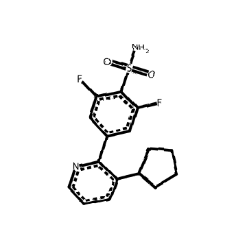 NS(=O)(=O)c1c(F)cc(-c2ncccc2C2CCCC2)cc1F